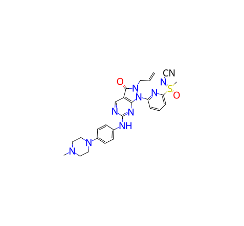 C=CCn1c(=O)c2cnc(Nc3ccc(N4CCN(C)CC4)cc3)nc2n1-c1cccc(S(C)(=O)=NC#N)n1